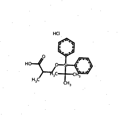 CC(CO[Si](c1ccccc1)(c1ccccc1)C(C)(C)C)C(=O)O.Cl